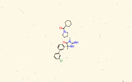 CC1(c2cccc(-c3cccc(Cl)c3)c2)NC(=N)N(C[C@@H]2CCN(C(=O)C3CCCCC3)C2)C1=O